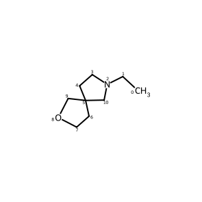 CCN1CCC2(CCOC2)C1